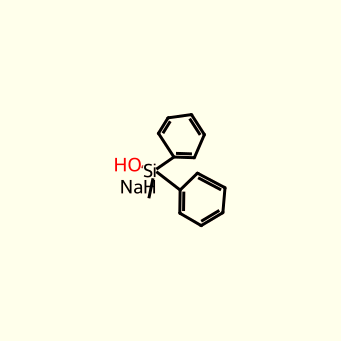 C[Si](O)(c1ccccc1)c1ccccc1.[NaH]